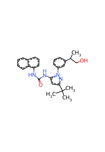 CC(CO)c1cccc(-n2nc(C(C)(C)C)cc2NC(=O)Nc2cccc3ccccc23)c1